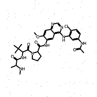 CNC(C)C(=O)NC(C(=O)N1CCCC1C(=O)Nc1cc2c(Nc3cc(NC(C)=O)ccc3Cl)ncnc2cc1OC)C(C)(C)C